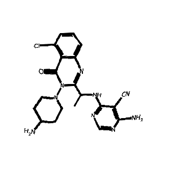 CC(Nc1ncnc(N)c1C#N)c1nc2cccc(Cl)c2c(=O)n1N1CCC(N)CC1